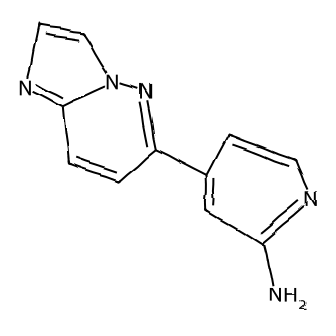 Nc1cc(-c2ccc3nccn3n2)ccn1